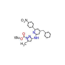 Cc1cc(Nc2cc(Cc3ccccc3)cc(-c3ccc([N+](=O)[O-])cc3)n2)nn1C(=O)OC(C)(C)C